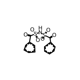 O=C(c1ccccc1)S(=O)(=O)NS(=O)(=O)C(=O)c1ccccc1